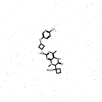 COC1(C2C(=O)Nc3c(C)nc(N[C@H]4C[C@H](Oc5ccc(C(F)(F)F)nc5)C4)nc3N2C)CCC1